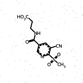 CS(=O)(=O)c1ncc(C(=O)NCCC(=O)O)cc1C#N